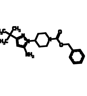 CC(C)(C)c1cc(N)n(C2CCN(C(=O)OCc3ccccc3)CC2)n1